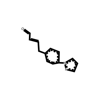 O=CC=CCc1ccc(-n2cccn2)cc1